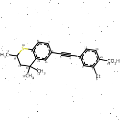 CCc1cc(C#Cc2ccc3c(c2)C(C)(C)CC(C)S3)ccc1C(=O)O